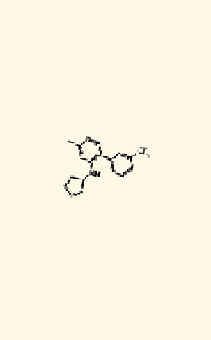 Cc1ncc(-c2cccc(C(F)(F)F)c2)c(NC2CCCC2)n1